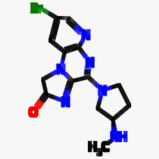 CN[C@@H]1CCN(C2=Nc3ncc(Br)cc3N3CC(=O)N=C23)C1